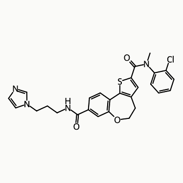 CN(C(=O)c1cc2c(s1)-c1ccc(C(=O)NCCCn3ccnc3)cc1OCC2)c1ccccc1Cl